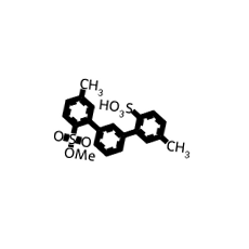 COS(=O)(=O)c1ccc(C)cc1-c1cccc(-c2cc(C)ccc2S(=O)(=O)O)c1